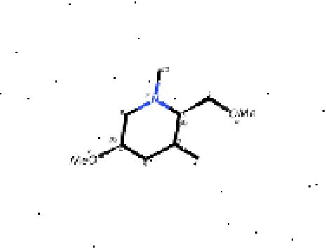 COC[C@H]1C(C)C[C@@H](OC)CN1C